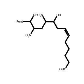 CCCCCC(O)C(CC(C(O)C/C=C\CCCC[C]=O)[N+](=O)[O-])[N+](=O)[O-]